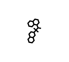 CC(C1CCCC2CCCCC21)C(C)(C)C1CCC2CCCCC2C1